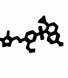 CCc1ccc2c(c1)CCC(C1CC1)N2S(=O)(=O)c1ccc(OCc2nnn(C)c2C)c(CO)c1